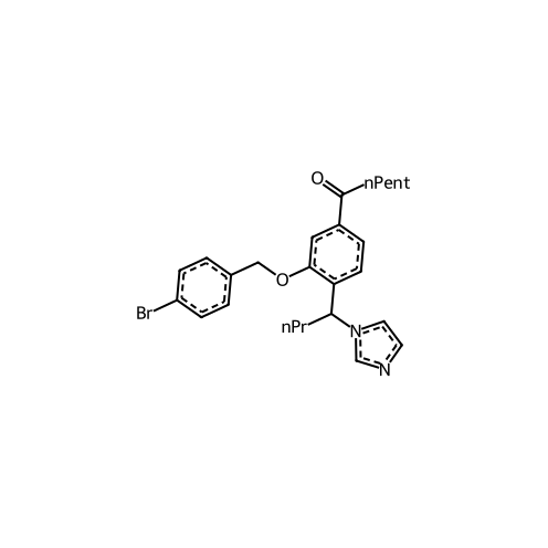 CCCCCC(=O)c1ccc(C(CCC)n2ccnc2)c(OCc2ccc(Br)cc2)c1